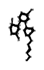 CCC=CCCc1ccc(-c2cc(F)ccc2-c2cc(F)ccc2F)cc1